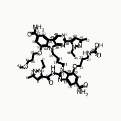 CCn1nc(C)cc1C(=O)Nc1nc2cc(C(N)=O)cc(OCCCNC(=O)O)c2n1CC=CCn1c2nc(-c3cc(C)nn3CC)ncc2c2cc(C(N)=O)cc(OCCCOC)c21